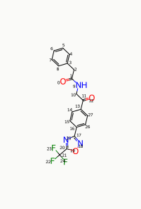 O=C(Cc1ccccc1)NCC(=O)c1ccc(-c2noc(C(F)(F)F)n2)cc1